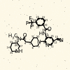 CN(C(=O)CC1CCN(c2ncc(C#N)cc2NC(=O)c2cccc(C(F)(F)F)c2)CC1)[C@@H]1CCCNC1